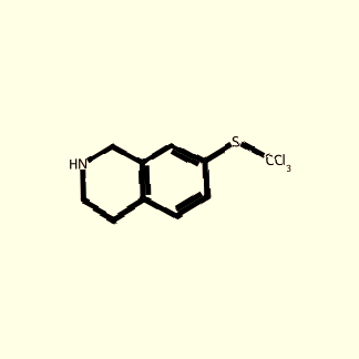 ClC(Cl)(Cl)Sc1ccc2c(c1)CNCC2